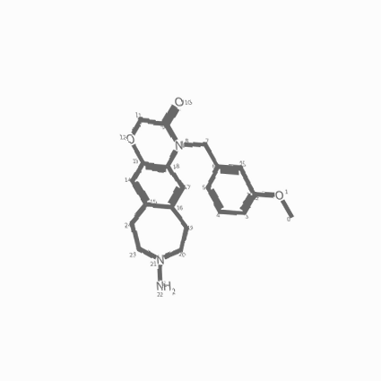 COc1cccc(CN2C(=O)COc3cc4c(cc32)CCN(N)CC4)c1